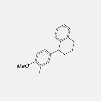 COc1ccc(C2CCCc3ccccc32)cc1C